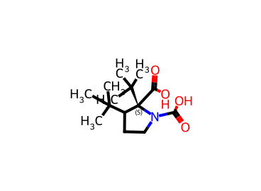 CC(C)(C)C1CCN(C(=O)O)[C@]1(C(=O)O)C(C)(C)C